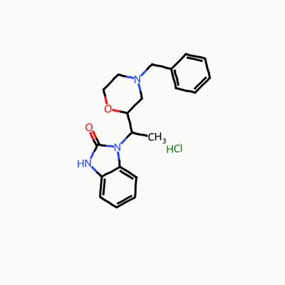 CC(C1CN(Cc2ccccc2)CCO1)n1c(=O)[nH]c2ccccc21.Cl